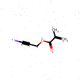 C=C(C)C(=O)OCC#CI